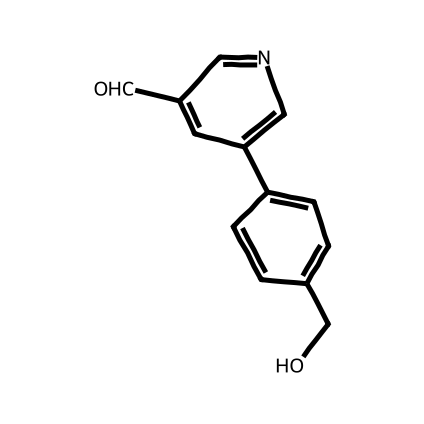 O=Cc1cncc(-c2ccc(CO)cc2)c1